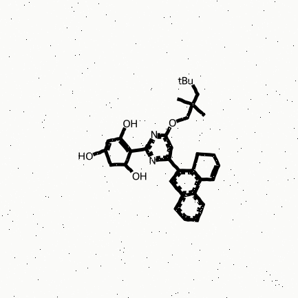 CC(C)(C)CC(C)(C)COc1cc(-c2cc3ccccc3c3c2CCC=C3)nc(C2=C(O)C=C(O)CC2O)n1